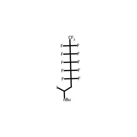 CCCCC(I)CC(F)(F)C(F)(F)C(F)(F)C(F)(F)C(F)(F)C(F)(F)F